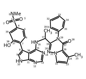 CNS(=O)(=O)c1ccc(-c2c[nH]c3ncnc(NC(C)c4nn5ccc(C)c5c(=O)n4-c4ccccc4)c23)c(O)c1